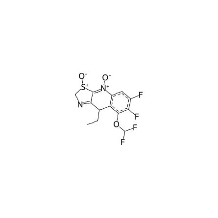 CCC1C2=NC[S+]([O-])C2=[N+]([O-])c2cc(F)c(F)c(OC(F)F)c21